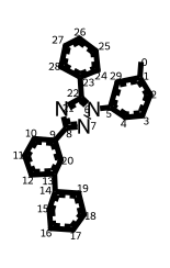 Cc1cccc(-n2nc(-c3cccc(-c4ccccc4)c3)nc2-c2ccccc2)c1